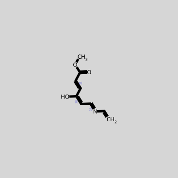 C=C/N=C/C=C(O)\C=C\C(=O)OC